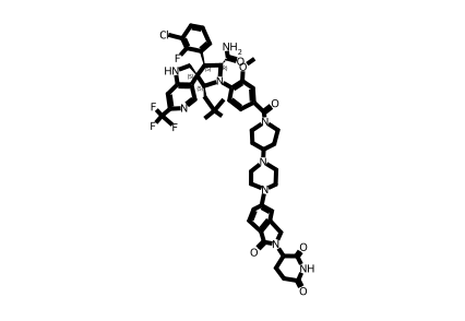 COc1cc(C(=O)N2CCC(N3CCN(c4ccc5c(c4)CN(C4CCC(=O)NC4=O)C5=O)CC3)CC2)ccc1N1[C@@H](CC(C)(C)C)[C@@]2(CNc3cc(C(F)(F)F)ncc32)[C@@H](c2cccc(Cl)c2F)[C@@H]1C(N)=O